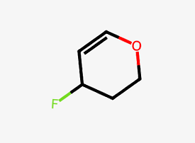 FC1C=COCC1